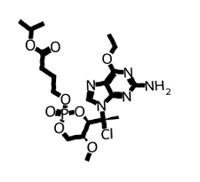 CCOc1nc(N)nc2c1ncn2[C@](C)(Cl)[C@@H]1OP(=O)(OCCCC(=O)OC(C)C)OC[C@H]1OC